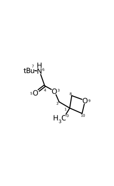 CC1(COC(=O)NC(C)(C)C)COC1